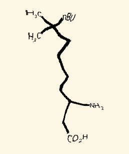 CCCCC(C)(C)CCCCC(N)CC(=O)O